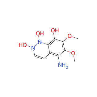 COc1c(N)c2c(c(O)c1OC)N(O)N(O)C=C2